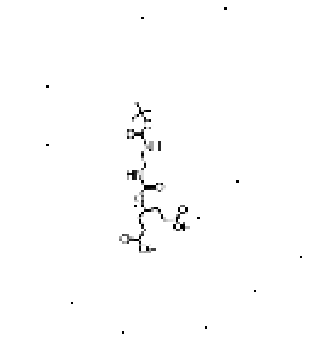 CC(C)(C)OC(=O)NCCNC(=O)OC(CCC(=O)O)CCC(=O)O